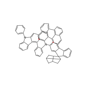 c1ccc(-c2cccc3cccc(-c4ccccc4N(c4ccc5c(c4)C4(c6ccccc6-5)C5CC6CC5CC64)c4ccccc4-c4cccc5c4c4ccccc4n5-c4ccccc4)c23)cc1